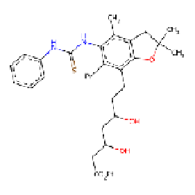 CCOC(=O)CC(O)CC(O)CCc1c2c(c(C)c(NC(=S)Nc3ccccc3)c1C(C)C)CC(C)(C)O2